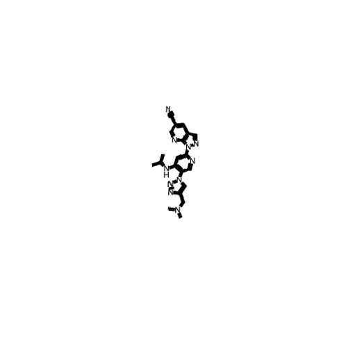 CC(C)Nc1cc(-n2ncc3cc(C#N)cnc32)ncc1-n1cc(CN(C)C)nn1